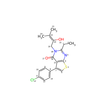 CCc1nc2scc(-c3ccc(Cl)cc3)c2c(=O)n1CC(O)=C(C)C